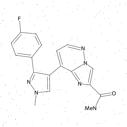 CNC(=O)c1cn2nccc(-c3cn(C)nc3-c3ccc(F)cc3)c2n1